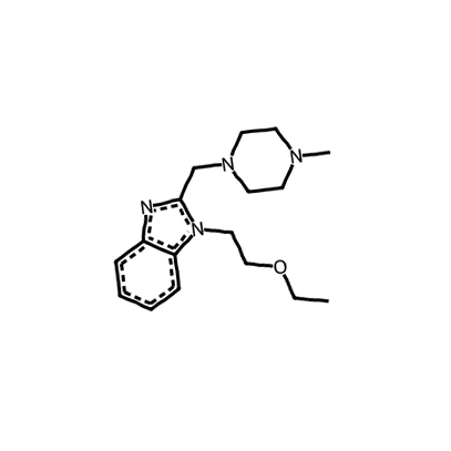 CCOCCn1c(CN2CCN(C)CC2)nc2ccccc21